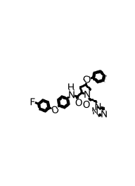 O=C(Nc1ccc(Oc2ccc(F)cc2)cc1)C1CC(Oc2ccccc2)CN1C(=O)Cn1cncn1